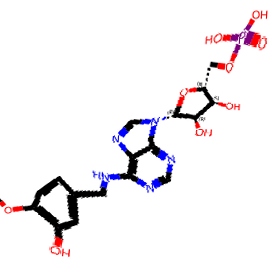 COc1ccc(CNc2ncnc3c2ncn3[C@@H]2O[C@H](COP(=O)(O)O)[C@@H](O)[C@H]2O)cc1O